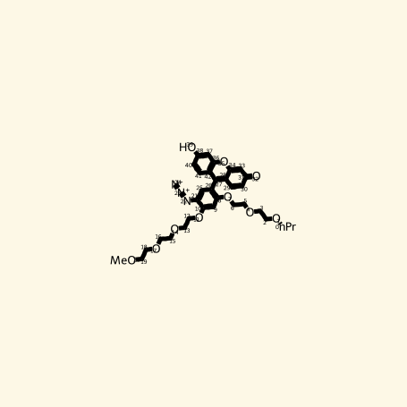 CCCOCCOCCOc1cc(OCCOCCOCCOC)c(N=[N+]=[N-])cc1-c1c2ccc(=O)cc-2oc2cc(O)ccc12